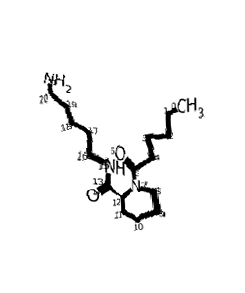 CCCCCC(=O)N1CCCC[C@H]1C(=O)NCCCCCN